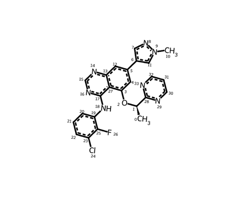 C[C@@H](Oc1cc(-c2cnn(C)c2)cc2ncnc(Nc3cccc(Cl)c3F)c12)c1ncccn1